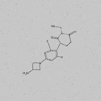 NC1CN(c2cc(F)c(C3CCC(=O)N(CO)C3=O)c(F)c2)C1